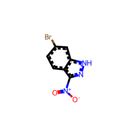 O=[N+]([O-])c1n[nH]c2cc(Br)ccc12